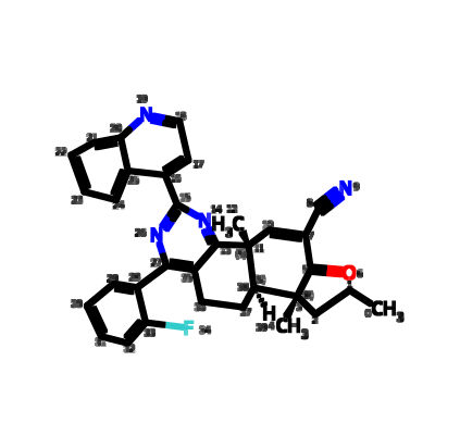 CCC[C@@]1(C)C(=O)C(C#N)=C[C@@]2(C)c3nc(-c4ccnc5ccccc45)nc(-c4ccccc4F)c3CC[C@H]12